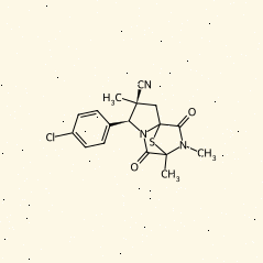 CN1C(=O)C23C[C@](C)(C#N)[C@H](c4ccc(Cl)cc4)N2C(=O)C1(C)S3